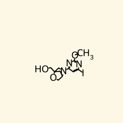 COc1nc(I)cc(N2CC3(CO)CC2CO3)n1